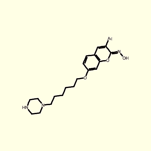 CC(=O)c1cc2ccc(OCCCCCCN3CCNCC3)cc2oc1=NO